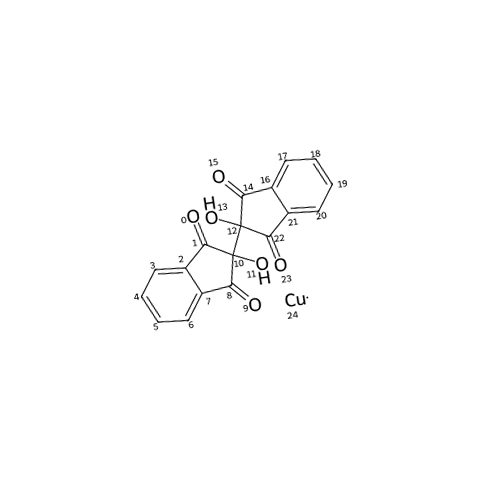 O=C1c2ccccc2C(=O)C1(O)C1(O)C(=O)c2ccccc2C1=O.[Cu]